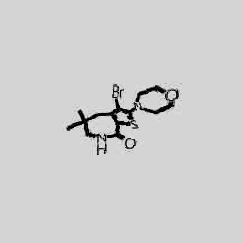 CC1(C)CNC(=O)c2sc(N3CCOCC3)c(Br)c2C1